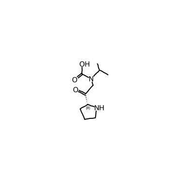 CC(C)N(CC(=O)[C@H]1CCCN1)C(=O)O